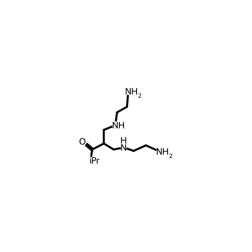 CC(C)C(=O)C(CNCCN)CNCCN